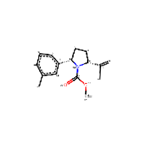 C=C(C)[C@H]1CC[C@@H](c2cccc(C)c2)N1C(=O)OC(C)(C)C